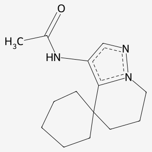 CC(=O)Nc1cnn2c1C1(CCCCC1)CCC2